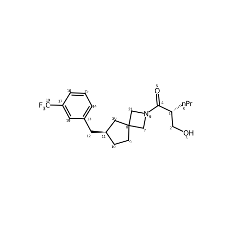 CCC[C@H](CO)C(=O)N1CC2(CC[C@@H](Cc3cccc(C(F)(F)F)c3)C2)C1